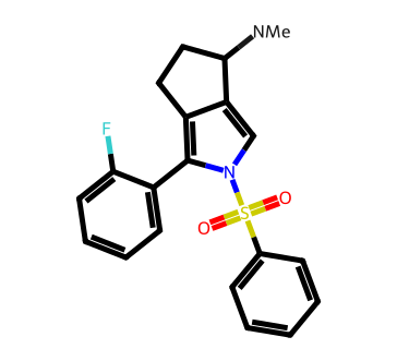 CNC1CCc2c1cn(S(=O)(=O)c1ccccc1)c2-c1ccccc1F